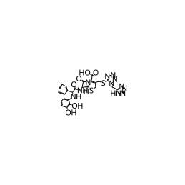 O=C(O)C1=C(CSc2nnnn2Cc2nnn[nH]2)CS[C@H]2[C@H](NC(=O)C(Nc3cccc(O)c3O)c3ccccc3)C(=O)N12